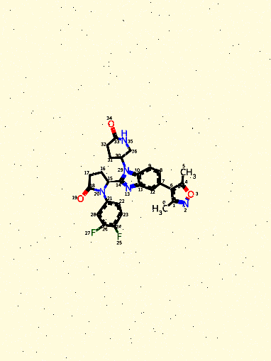 Cc1noc(C)c1-c1ccc2c(c1)nc([C@@H]1CCC(=O)N1c1ccc(F)c(F)c1)n2C1CCC(=O)NC1